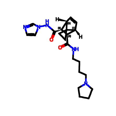 O=C(NCCCCN1CCCC1)[C@H]1[C@H](C(=O)Nn2ccnc2)[C@@H]2C=C[C@H]1C21CC1